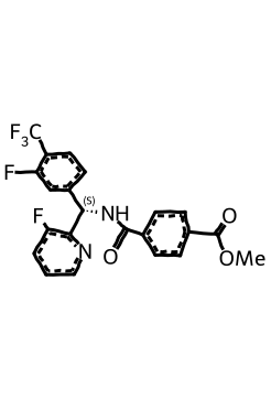 COC(=O)c1ccc(C(=O)N[C@@H](c2ccc(C(F)(F)F)c(F)c2)c2ncccc2F)cc1